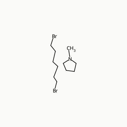 BrCCCCCCBr.CN1CCCC1